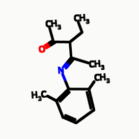 CCC(C(C)=O)C(C)=Nc1c(C)cccc1C